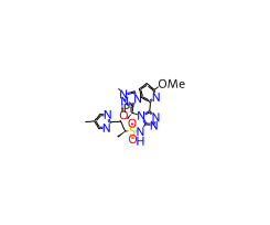 COc1cccc(-c2nnc(NS(=O)(=O)[C@@H](C)[C@@H](OC(C)C)c3ncc(C)cn3)n2[C@@H](C)c2ncn(C)n2)n1